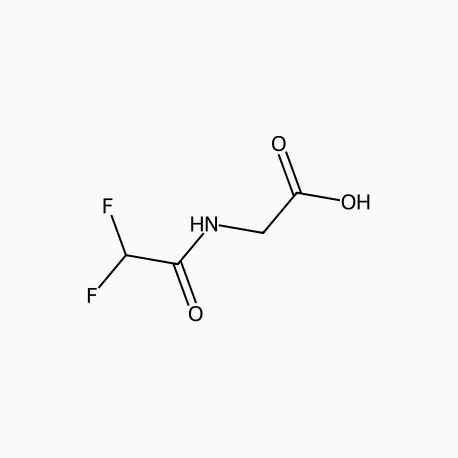 O=C(O)CNC(=O)C(F)F